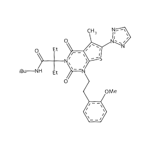 CCC(C)NC(=O)C(CC)(CC)n1c(=O)c2c(C)c(-n3nccn3)sc2n(CCc2ccccc2OC)c1=O